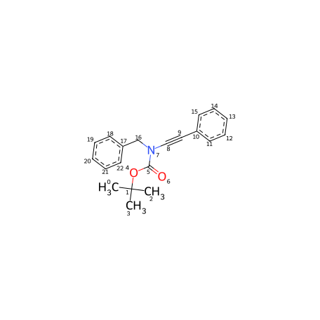 CC(C)(C)OC(=O)N(C#Cc1ccccc1)Cc1ccccc1